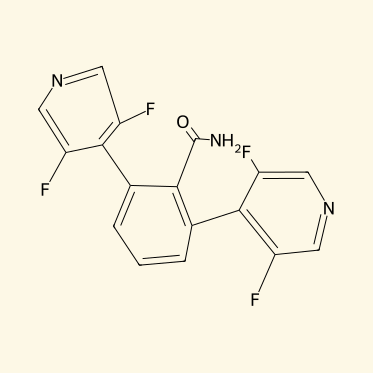 NC(=O)c1c(-c2c(F)cncc2F)cccc1-c1c(F)cncc1F